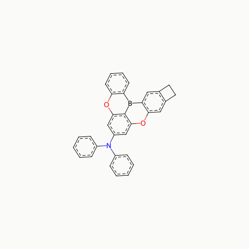 c1ccc(N(c2ccccc2)c2cc3c4c(c2)Oc2cc5c(cc2B4c2ccccc2O3)CC5)cc1